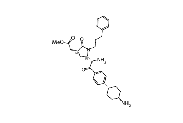 COC(=O)C[C@@H]1C[C@@H](C(N)C(=O)c2ccc([C@H]3CC[C@H](N)CC3)cc2)N(CCCc2ccccc2)C1=O